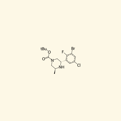 C[C@H]1CN(C(=O)OC(C)(C)C)C[C@H](c2cc(Cl)cc(Br)c2F)N1